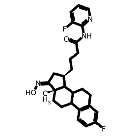 C[C@]12CCC3c4ccc(F)cc4CCC3C1[C@H](CCCC(=O)Nc1ncccc1F)C/C2=N/O